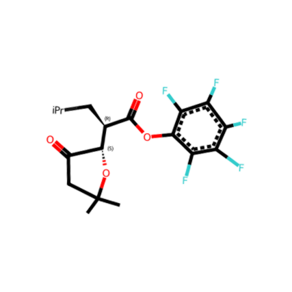 CC(C)C[C@@H](C(=O)Oc1c(F)c(F)c(F)c(F)c1F)[C@@H]1OC(C)(C)CC1=O